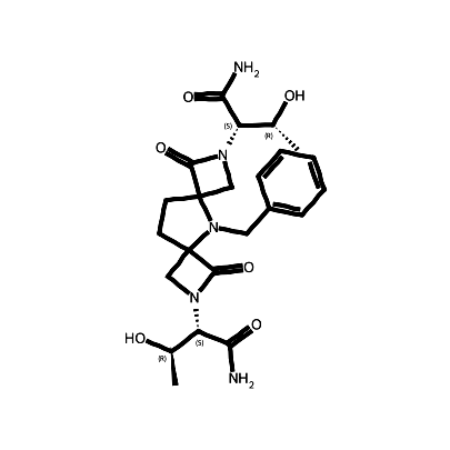 C[C@@H](O)[C@@H](C(N)=O)N1CC2(CCC3(CN([C@H](C(N)=O)[C@@H](C)O)C3=O)N2Cc2ccccc2)C1=O